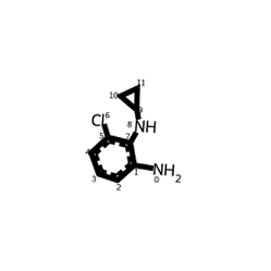 Nc1cccc(Cl)c1NC1CC1